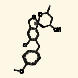 COc1ccc(Cc2cc3c(cc2Cl)CO[C@@]32CC(O)CC(C)O2)cc1